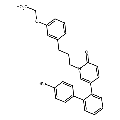 CC(C)(C)c1ccc(-c2ccccc2-c2ccc(=O)n(CCCc3cccc(OCC(=O)O)c3)c2)cc1